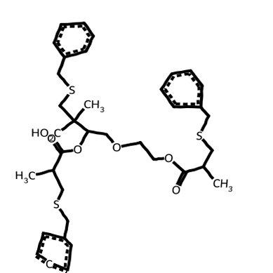 CC(CSCc1ccccc1)C(=O)OCCOCC(OC(=O)C(C)CSCc1ccccc1)C(C)(CSCc1ccccc1)C(=O)O